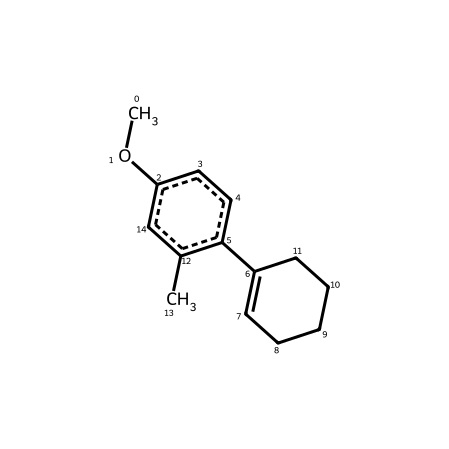 COc1ccc(C2=CCCCC2)c(C)c1